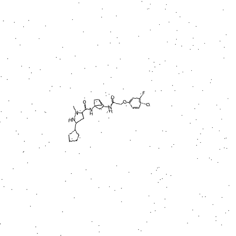 CN1NC(C2CCCC2)CC1C(=O)NC12CC(C1)C(NC(=O)COc1ccc(Cl)c(F)c1)C2